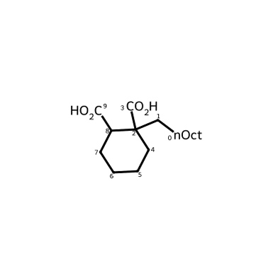 CCCCCCCCCC1(C(=O)O)CCCCC1C(=O)O